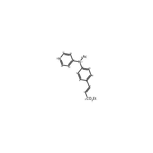 CCOC(=O)C=Cc1ccc(N(C(C)=O)c2ccncc2)cc1